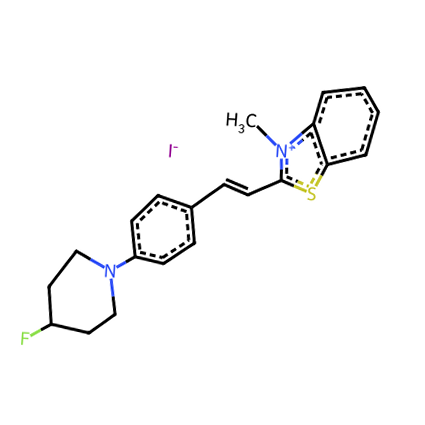 C[n+]1c(C=Cc2ccc(N3CCC(F)CC3)cc2)sc2ccccc21.[I-]